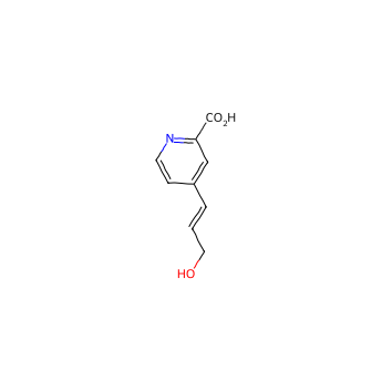 O=C(O)c1cc(/C=C/CO)ccn1